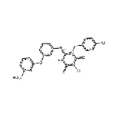 CCn1c(=O)[nH]/c(=N\c2cccc(Oc3cccc(C(=O)O)n3)c2)n(Cc2ccc(Cl)cc2)c1=O